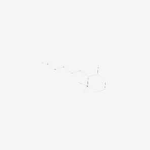 CC1CCCC(C)(C)C1CC[CH]CCl